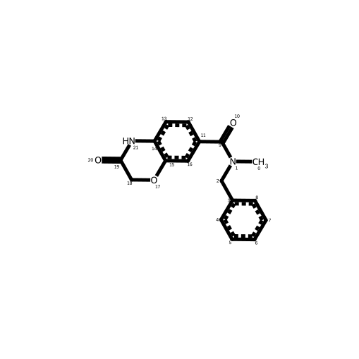 CN(Cc1ccccc1)C(=O)c1ccc2c(c1)OCC(=O)N2